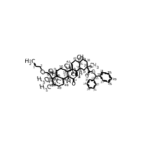 C=CCOC(=O)[C@@]1(C)[C@@H]2CC[C@]3(C)[C@H](C(=O)C=C4[C@@H]5C[C@@](C)(C(=O)OC(c6ccccc6)c6ccccc6)CC[C@]5(C)CC[C@]43C)[C@@]2(C)CC[C@@H]1C